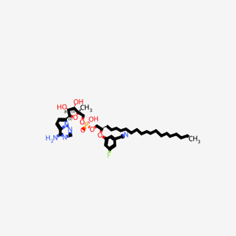 CCCCCCCCCCCCCCCCCC[C@@H](COP(=O)(O)OC[C@@]1(C)O[C@@H](c2ccc3c(N)ncnn23)[C@H](O)[C@@H]1O)Oc1cc(F)cc(C#N)c1